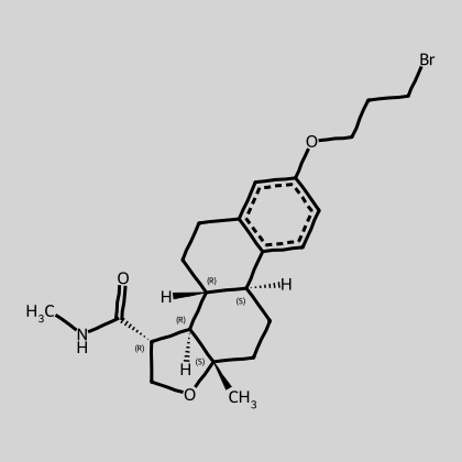 CNC(=O)[C@H]1CO[C@@]2(C)CC[C@@H]3c4ccc(OCCCBr)cc4CC[C@H]3[C@H]12